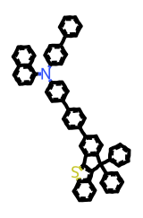 c1ccc(-c2ccc(N(c3ccc(-c4ccc(-c5ccc6c(c5)-c5sc7ccccc7c5C6(c5ccccc5)c5ccccc5)cc4)cc3)c3cccc4ccccc34)cc2)cc1